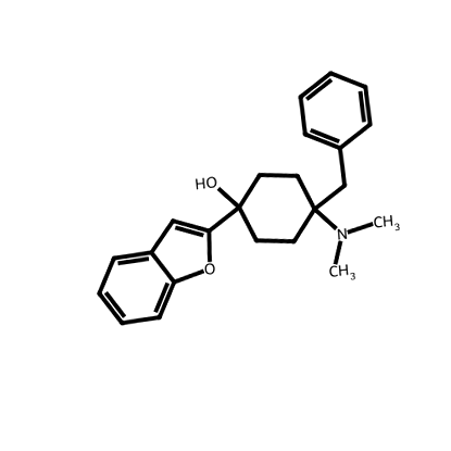 CN(C)C1(Cc2ccccc2)CCC(O)(c2cc3ccccc3o2)CC1